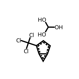 ClC(Cl)(Cl)c1ccc2cc1-2.OC(O)O